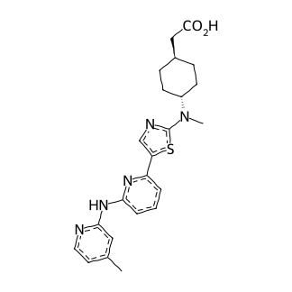 Cc1ccnc(Nc2cccc(-c3cnc(N(C)[C@H]4CC[C@H](CC(=O)O)CC4)s3)n2)c1